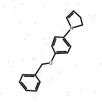 C1=CN(c2ccc(OCc3ccccc3)cc2)CC1